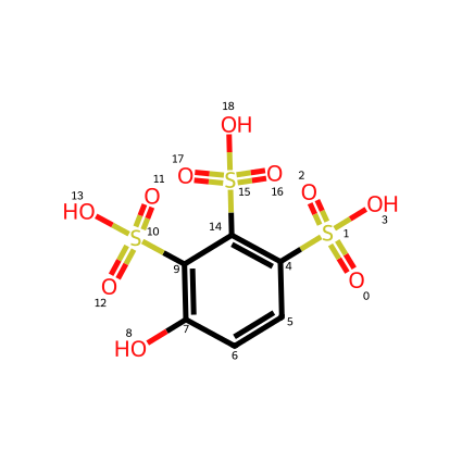 O=S(=O)(O)c1ccc(O)c(S(=O)(=O)O)c1S(=O)(=O)O